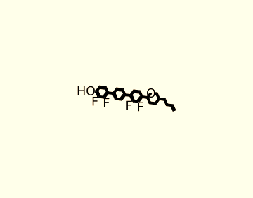 C=CCCC1CCC(c2ccc(-c3ccc(-c4ccc(O)c(F)c4F)cc3)c(F)c2F)OC1